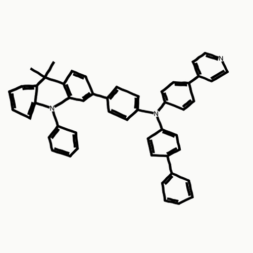 CC1(C)c2ccccc2N(c2ccccc2)c2cc(-c3ccc(N(c4ccc(-c5ccccc5)cc4)c4ccc(-c5ccncc5)cc4)cc3)ccc21